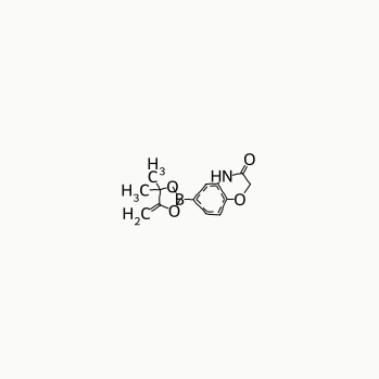 C=C1OB(c2ccc3c(c2)NC(=O)CO3)OC1(C)C